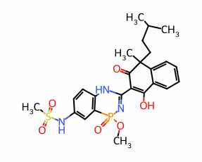 COP1(=O)N=C(C2=C(O)c3ccccc3C(C)(CCC(C)C)C2=O)Nc2ccc(NS(C)(=O)=O)cc21